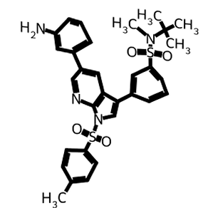 Cc1ccc(S(=O)(=O)n2cc(-c3cccc(S(=O)(=O)N(C)C(C)(C)C)c3)c3cc(-c4cccc(N)c4)cnc32)cc1